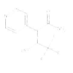 NC(=O)C(c1ccncc1)C(O)C(F)(F)F